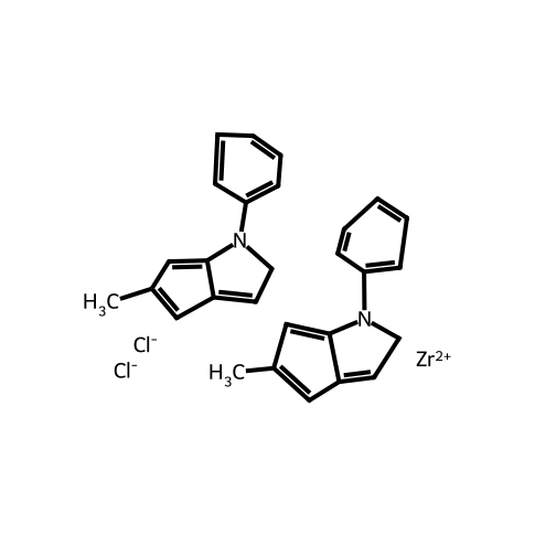 CC1=CC2=CCN(c3ccccc3)C2=C1.CC1=CC2=CCN(c3ccccc3)C2=C1.[Cl-].[Cl-].[Zr+2]